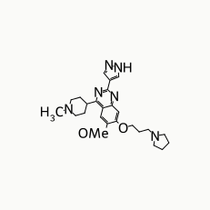 COc1cc2c(C3CCN(C)CC3)nc(-c3cn[nH]c3)nc2cc1OCCCN1CCCC1